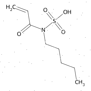 C=CC(=O)N(CCCCC)S(=O)(=O)O